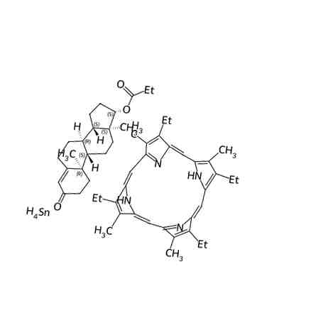 CCC(=O)O[C@H]1CC[C@H]2[C@@H]3CCC4=CC(=O)CC[C@]4(C)[C@H]3CC[C@]12C.CCC1=C(C)c2cc3[nH]c(cc4nc(cc5[nH]c(cc1n2)c(C)c5CC)C(CC)=C4C)c(C)c3CC.[SnH4]